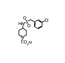 O=C(O)N1CCC(NS(=O)(=O)Cc2cccc(Cl)c2)CC1